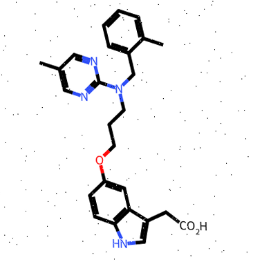 Cc1cnc(N(CCCOc2ccc3[nH]cc(CC(=O)O)c3c2)Cc2ccccc2C)nc1